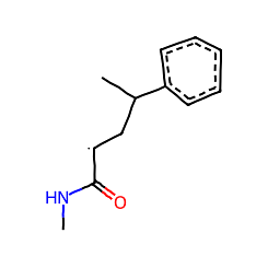 CNC(=O)[CH]CC(C)c1ccccc1